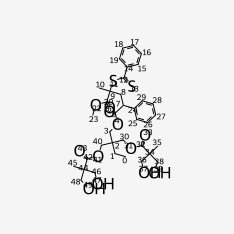 CCC(COC(=O)C(CC(C)(SC(=S)c1ccccc1)C(=O)OC)c1ccccc1)(COC(=O)C(C)(CO)CO)COC(=O)C(C)(CO)CO